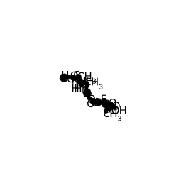 CCn1cc(C(=O)O)c(=O)c2cc(F)c(N3CCN(C(=O)OCc4ccc(NCC(C)c5nnc([C@@H](NC(=O)OCc6ccccc6)C(C)C)[nH]5)cc4)CC3)cc21